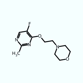 Cc1ncc(F)c(OCCN2CCOCC2)n1